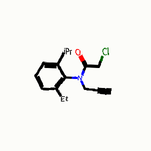 C#CCN(C(=O)CCl)c1c(CC)cccc1C(C)C